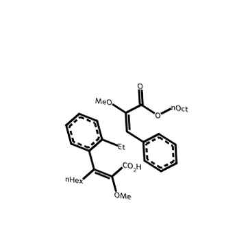 CCCCCCC(=C(OC)C(=O)O)c1ccccc1CC.CCCCCCCCOC(=O)C(=Cc1ccccc1)OC